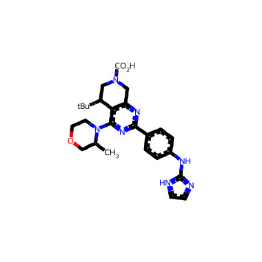 CC1COCCN1c1nc(-c2ccc(Nc3ncc[nH]3)cc2)nc2c1C(C(C)(C)C)CN(C(=O)O)C2